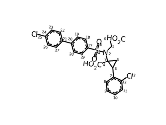 O=C(O)CN(C1(C(=O)O)CC1c1ccccc1Cl)S(=O)(=O)c1ccc(-c2ccc(Cl)cc2)cc1